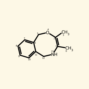 C/C1=C(\C)OCc2ccccc2CN1